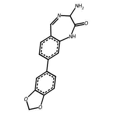 NC1N=Cc2ccc(-c3ccc4c(c3)OCO4)cc2NC1=O